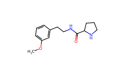 COc1cccc(CCNC(=O)C2CCCN2)c1